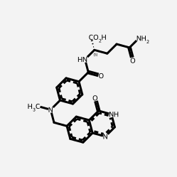 CN(Cc1ccc2nc[nH]c(=O)c2c1)c1ccc(C(=O)N[C@@H](CCC(N)=O)C(=O)O)cc1